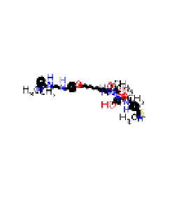 Cc1ncsc1-c1ccc([C@H](C)NC(=O)[C@@H]2C[C@@H](O)CN2C(=O)C(NC(=O)CCCCCCCCCOc2ccc(CNCCCNCc3ccccc3N(C)C)cc2)C(C)(C)C)cc1